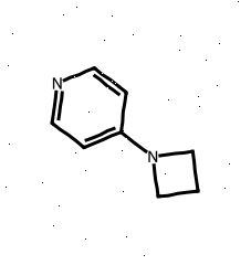 c1cc(N2CCC2)ccn1